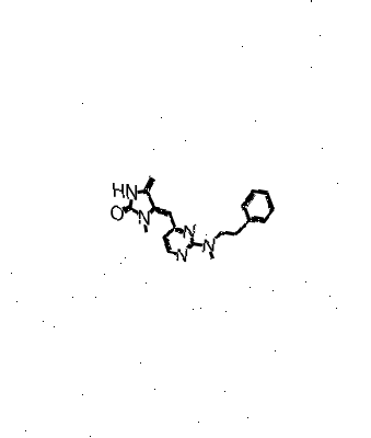 C=c1[nH]c(=O)n(C)/c1=C\c1ccnc(N(C)CCc2ccccc2)n1